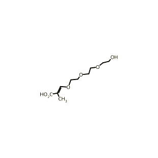 CC(=COCCOCCOCCO)C(=O)O